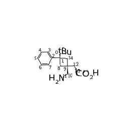 CC(C)(C)[C@]1(c2ccccc2)C[C@@](CN)(CC(=O)O)C1